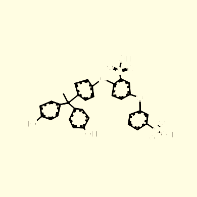 CC(c1ccc(O)cc1)(c1ccc(O)cc1)c1ccc(Oc2ccc(Oc3cccc(S(=O)(=O)O)c3)cc2S(=O)(=O)O)cc1